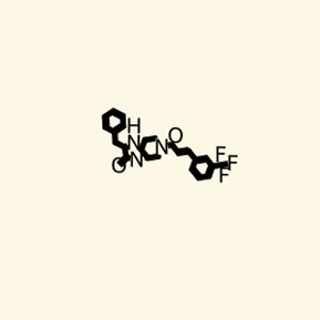 O=C1[N]C2(CCN(C(=O)C=Cc3cccc(C(F)(F)F)c3)CC2)NC1Cc1ccccc1